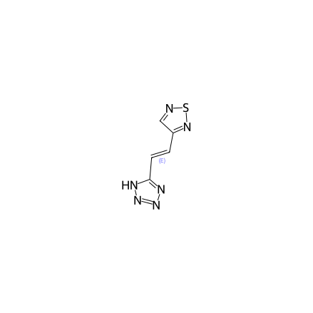 C(=C\c1nnn[nH]1)/c1cnsn1